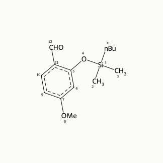 CCCC[Si](C)(C)Oc1cc(OC)ccc1C=O